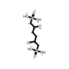 O=P(O)(O)CC(Cl)CCC(Cl)CP(=O)(O)O